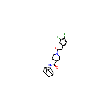 O=C(NC12CC3CC(CC(C3)C1)C2)C1CCN(C(=O)Cc2ccc(F)c(F)c2)CC1